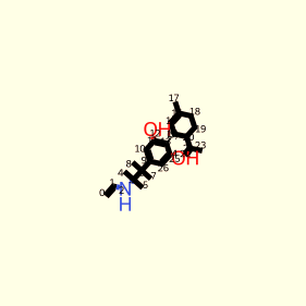 C=CNC(C)(C)C(C)(C)c1cc(O)c([C@@H]2C=C(C)CCC2C(=C)C)c(O)c1